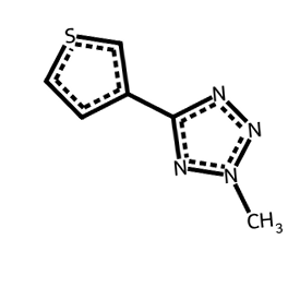 Cn1nnc(-c2ccsc2)n1